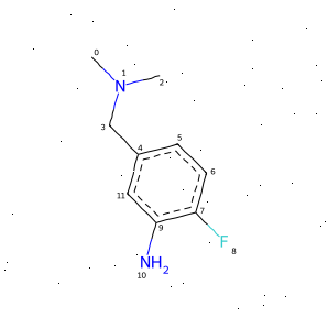 CN(C)Cc1ccc(F)c(N)c1